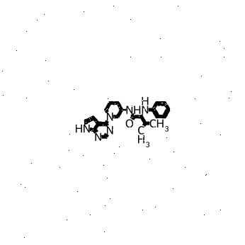 CC(C)[C@@H](Nc1ccccc1)C(=O)N[C@@H]1CCCN(c2ncnc3[nH]ccc23)C1